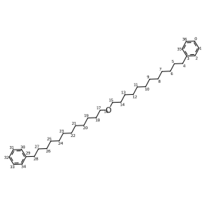 c1ccc(CCCCCCCCCCCCOCCCCCCCCCCCCc2ccccc2)cc1